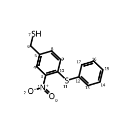 O=[N+]([O-])c1cc(CS)ccc1Sc1ccccc1